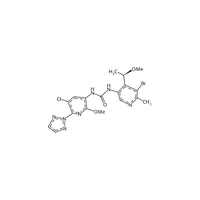 COc1nc(-n2nccn2)c(Cl)cc1NC(=O)Nc1cnc(C)c(Br)c1[C@@H](C)OC